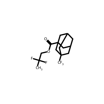 CC(F)(F)COC(=O)C12CC3CC(C1)CC(C(F)(F)F)(C3)C2